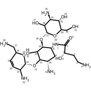 NCC[C@H](O)C(=O)N[C@@H]1C[C@H](N)C(O[C@H]2OC(CN)C=CC2N)C(O)[C@H]1O[C@H]1OC(CO)[C@@H](O)[C@H](N)C1O